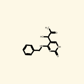 CC(=O)C(O)c1c[nH]c(=O)nc1NCc1ccccc1